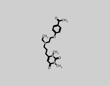 CCN(CCCc1cc(=O)n(C)c(=O)n1C)CCOc1ccc(C(C)=O)cc1